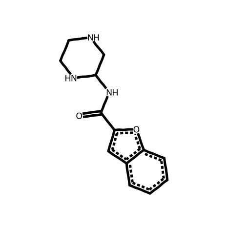 O=C(NC1CNCCN1)c1cc2ccccc2o1